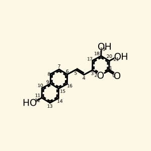 O=c1oc(C=Cc2ccc3cc(O)ccc3c2)cc(O)c1O